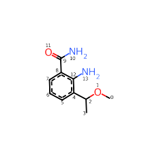 COC(C)c1cccc(C(N)=O)c1N